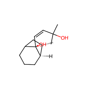 C[C@H]1CC2CCC[C@H]1[C@@]2(O)/C=C\C(C)(C)O